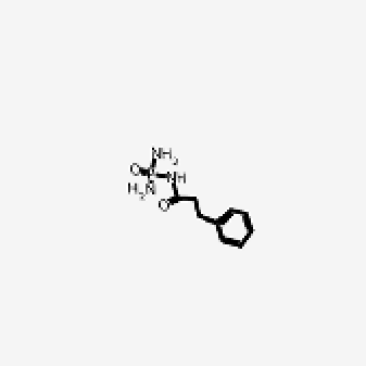 NP(N)(=O)NC(=O)CCc1ccccc1